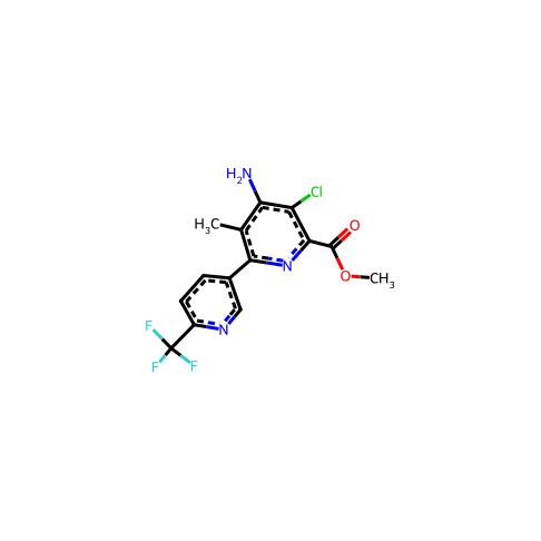 COC(=O)c1nc(-c2ccc(C(F)(F)F)nc2)c(C)c(N)c1Cl